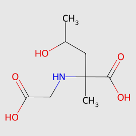 CC(O)CC(C)(NCC(=O)O)C(=O)O